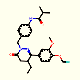 CCC1CC(=O)N(Cc2ccc(NC(=O)C(C)C)cc2)N=C1c1ccc(OCF)c(OC)c1